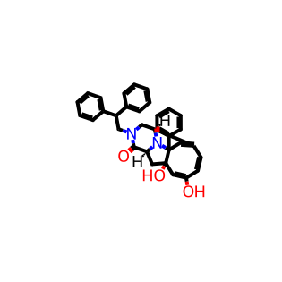 O=C1[C@@H]2CC3(O)/C=C(O)\C=C/C4=CC3(c3ccccc3)N2[C@H]4CN1CC(c1ccccc1)c1ccccc1